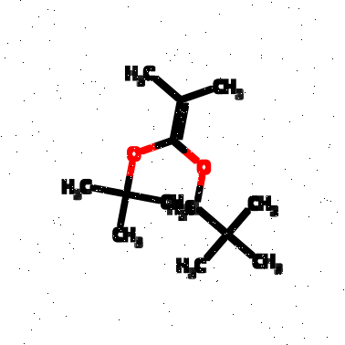 CC(C)=C(O[SiH2]C(C)(C)C)OC(C)(C)C